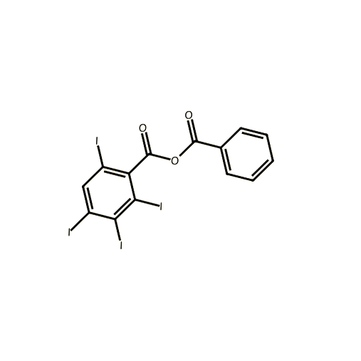 O=C(OC(=O)c1c(I)cc(I)c(I)c1I)c1ccccc1